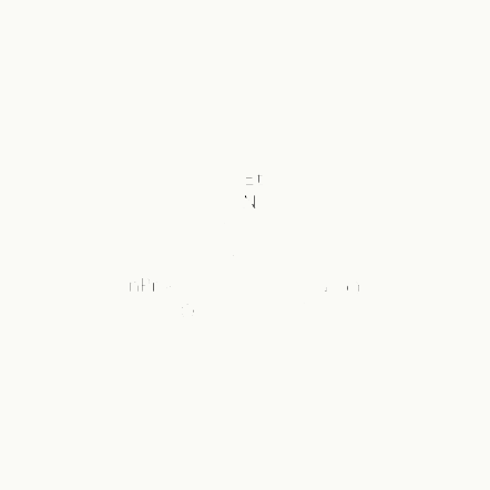 CCCC(=O)c1ccc2c(c1)c1c3c(ccc1n2CC)C(=O)CC3